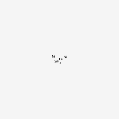 [Fe].[Ni].[Ni].[SiH4]